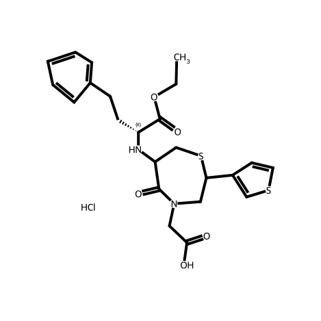 CCOC(=O)[C@@H](CCc1ccccc1)NC1CSC(c2ccsc2)CN(CC(=O)O)C1=O.Cl